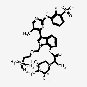 Cc1cnc(Nc2cccc(S(C)(=O)=O)c2F)nc1-c1cn(COCC[Si](C)(C)C)c2c(NC(=O)C(C)N3C[C@H](C)N(C)[C@@H](C)C3)cccc12